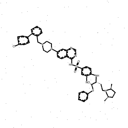 C[C@@H]1CC[C@H](C)N1CC[C@H](CSc1ccccc1)Nc1ccc(S(=O)(=O)Nc2ncnc3cc(N4CCN(Cc5ccccc5-c5ccc(Cl)cc5)CC4)ccc23)cc1[N+](=O)[O-]